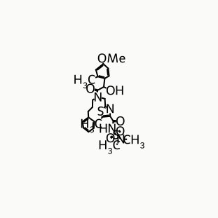 COc1ccc(C(O)C(=O)N(CCCc2ccccc2)Cc2nc(C(=O)NS(=O)(=O)N(C)C)c(C)s2)c(C)c1